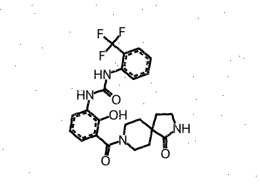 O=C(Nc1ccccc1C(F)(F)F)Nc1cccc(C(=O)N2CCC3(CCNC3=O)CC2)c1O